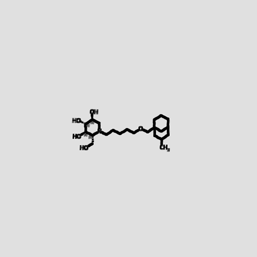 CC1CC2CCCC(COCCCCCN3C[C@H](O)[C@@H](O)[C@H](O)[C@H]3CO)(C1)C2